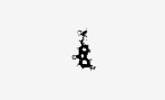 CC(=O)OCc1ccc2c(c1)C(=O)c1ccc(Br)cc1-2